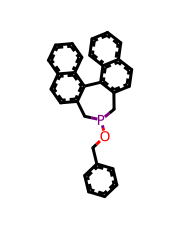 c1ccc(COP2Cc3ccc4ccccc4c3-c3c(ccc4ccccc34)C2)cc1